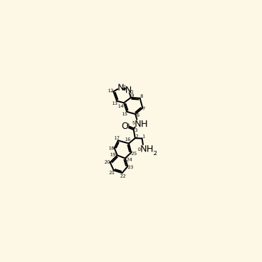 NCC(C(=O)Nc1ccc2nnccc2c1)c1ccc2ccccc2c1